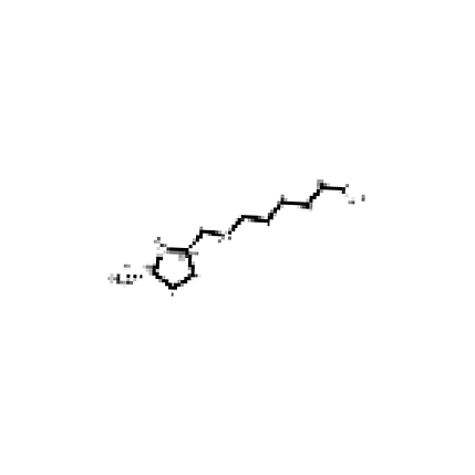 [CH2][C@H]1CC[C@H](COCCCCCC)O1